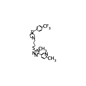 Cc1ccc(-c2nnc(SCCCN3CC[C@]4(CC4c4ccc(C(F)(F)F)cc4)C3)n2C)cn1